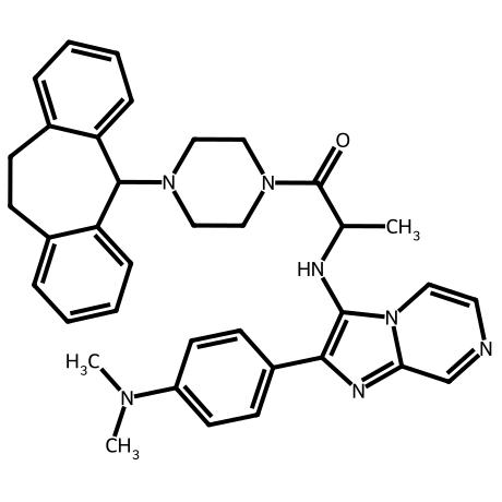 CC(Nc1c(-c2ccc(N(C)C)cc2)nc2cnccn12)C(=O)N1CCN(C2c3ccccc3CCc3ccccc32)CC1